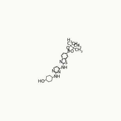 CC1(C)OB(c2ccc3nc(Nc4ccnc(NC5CCC(O)CC5)n4)sc3c2)OC1(C)C